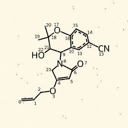 C=CCOC1=CC(=O)N(C2c3cc(C#N)ccc3OC(C)(C)C2O)C1